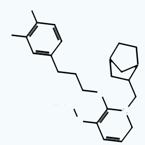 O=C(O)OC1=C(SCCCc2ccc(F)c(F)c2)N(CC2CC3CCC2C3)CC=C1